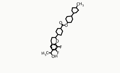 CC1CCC(C2CCC(OC(=O)C3CCC(C4CCc5cc(C(C)O)c(F)c(F)c5O4)CC3)CC2)CC1